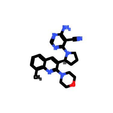 Cc1cccc2cc([C@@H]3CCCN3c3ncnc(N)c3C#N)c(N3CCOCC3)nc12